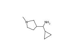 CN1CCC(C(N)C2CC2)C1